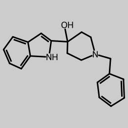 OC1(c2cc3ccccc3[nH]2)CCN(Cc2ccccc2)CC1